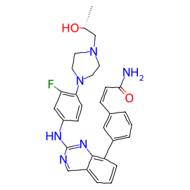 C[C@@H](O)CN1CCN(c2ccc(Nc3ncc4cccc(-c5cccc(C=CC(N)=O)c5)c4n3)cc2F)CC1